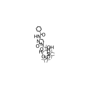 CC(C)[Si]1(C(C)C)OC[C@H]2O[C@@H](n3ccc(NC(=O)c4ccccc4)nc3=O)C(C)(O)[C@H]2O[Si](C(C)C)(C(C)C)O1